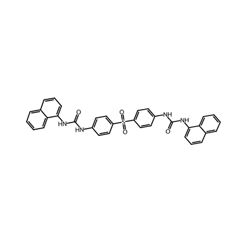 O=C(Nc1ccc(S(=O)(=O)c2ccc(NC(=O)Nc3cccc4ccccc34)cc2)cc1)Nc1cccc2ccccc12